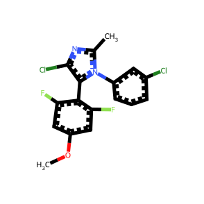 COc1cc(F)c(-c2c(Cl)nc(C)n2-c2cccc(Cl)c2)c(F)c1